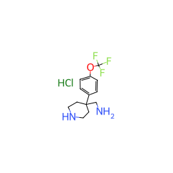 Cl.NCC1(c2ccc(OC(F)(F)F)cc2)CCNCC1